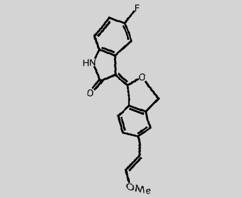 COC=Cc1ccc2c(c1)CO/C2=C1/C(=O)Nc2ccc(F)cc21